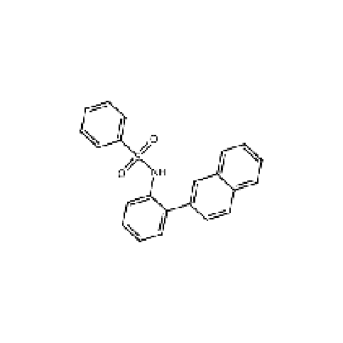 O=S(=O)(Nc1ccccc1-c1ccc2ccccc2c1)c1ccccc1